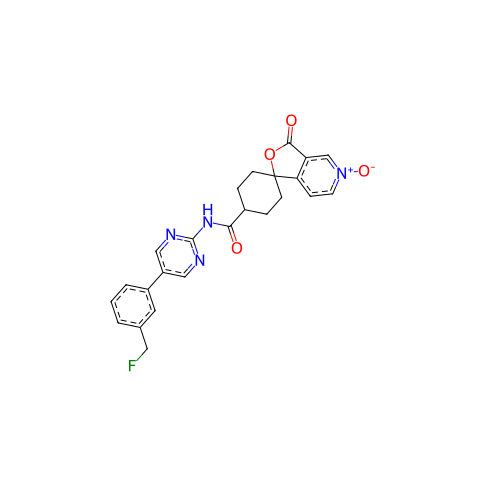 O=C1OC2(CCC(C(=O)Nc3ncc(-c4cccc(CF)c4)cn3)CC2)c2cc[n+]([O-])cc21